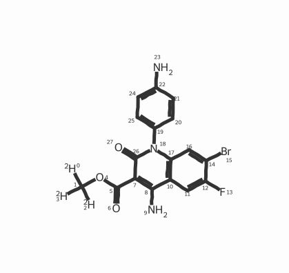 [2H]C([2H])([2H])OC(=O)c1c(N)c2cc(F)c(Br)cc2n(-c2ccc(N)cc2)c1=O